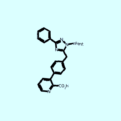 CCCCCn1nc(-c2ccccc2)nc1Cc1ccc(-c2cccnc2C(=O)O)cc1